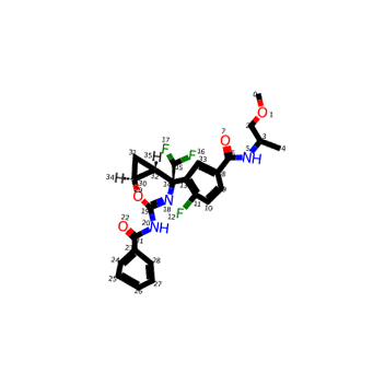 COCC(C)NC(=O)c1ccc(F)c([C@]2(C(F)F)N=C(NC(=O)c3ccccc3)O[C@H]3C[C@H]32)c1